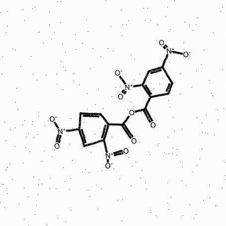 O=C(OC(=O)c1ccc([N+](=O)[O-])cc1[N+](=O)[O-])c1ccc([N+](=O)[O-])cc1[N+](=O)[O-]